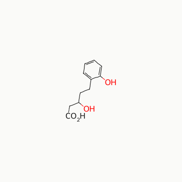 O=C(O)CC(O)CCc1ccccc1O